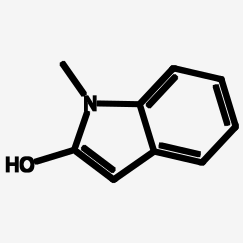 Cn1c(O)cc2ccccc21